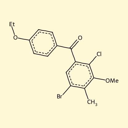 CCOc1ccc(C(=O)c2cc(Br)c(C)c(OC)c2Cl)cc1